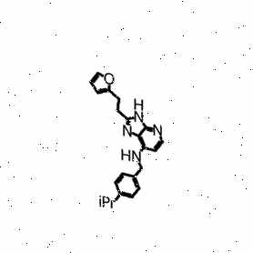 CC(C)c1ccc(CNc2ccnc3[nH]c(CCc4ccco4)nc23)cc1